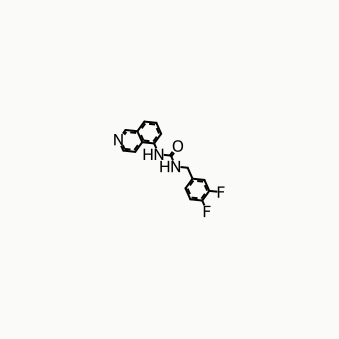 O=C(NCc1ccc(F)c(F)c1)Nc1cccc2cnccc12